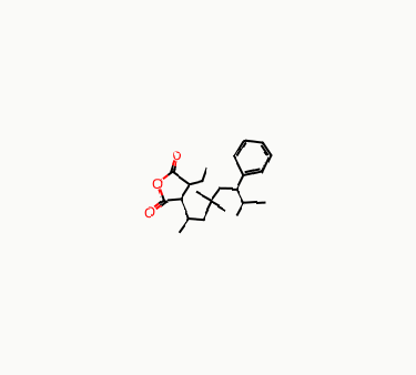 CCC1C(=O)OC(=O)C1C(C)CC(C)(C)CC(c1ccccc1)C(C)C